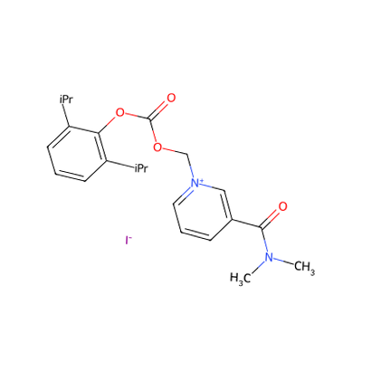 CC(C)c1cccc(C(C)C)c1OC(=O)OC[n+]1cccc(C(=O)N(C)C)c1.[I-]